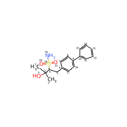 CC(C)(O)C(Cc1ccc(-c2ccccc2)cc1)S(N)(=O)=O